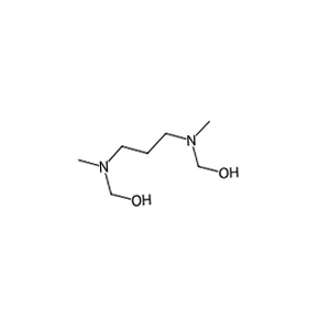 CN(CO)CCCN(C)CO